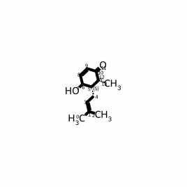 CC(C)=CC[C@@H]1C(O)C=CC(=O)[C@@H]1C